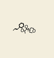 CC=Cc1ccccc1OC(C)C(=O)N1CCOCC1